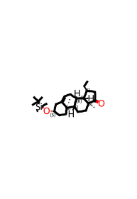 CC[C@H]1CC(=O)[C@@]2(C)CC[C@H]3[C@@H](CC=C4C[C@@H](O[Si](C)(C)C(C)(C)C)CC[C@@]43C)[C@H]12